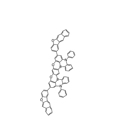 c1ccc(N2c3ccccc3B3c4cc5c(cc4Oc4cc(-c6ccc7oc8cc9ccccc9cc8c7c6)cc2c43)Oc2cc(-c3ccc4oc6cc7ccccc7cc6c4c3)cc3c2B5c2ccccc2N3c2ccccc2)cc1